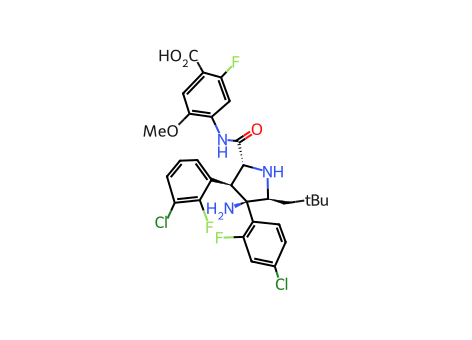 COc1cc(C(=O)O)c(F)cc1NC(=O)[C@@H]1N[C@@H](CC(C)(C)C)[C@](N)(c2ccc(Cl)cc2F)[C@H]1c1cccc(Cl)c1F